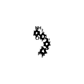 Cc1ccc(N)cc1C1CCN(Cc2ccc(Sc3ccc(F)c(F)c3)cc2)CC1